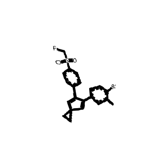 Cc1cc(C2=CC3(C=C2c2ccc(S(=O)(=O)CF)cc2)CC3)ccc1Br